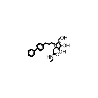 CCNC(=O)C[C@@H]1[C@@H](O)[C@H](O)[C@@H](CO)N1CCCc1ccc(-c2ccccc2)cc1